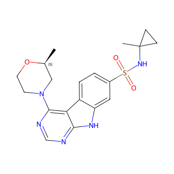 C[C@H]1CN(c2ncnc3[nH]c4cc(S(=O)(=O)NC5(C)CC5)ccc4c23)CCO1